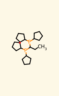 CCC(P(C1CCCC1)C1CCCC1)P(C1CCCC1)C1CCCC1